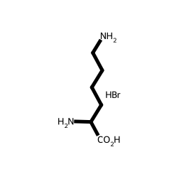 Br.NCCCCC(N)C(=O)O